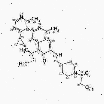 CC[C@@H](C)n1c(=O)c(NCC2CCN([S+]([O-])CC)CC2)nc2c(C)nc(-c3c(C)ncnc3C3CC3)nc21